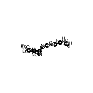 CCC1(NC(=O)C(C)C)CCN(c2ccc(-c3cc(-c4cnn(C5CCN(C(=O)CN6CCC(c7ccc(NC8CCC(=O)NC8=O)cc7F)CC6)CC5)c4)cn4ncc(C#N)c34)cn2)CC1